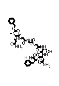 NC(=O)CC[C@H](NC(=O)OCc1ccccc1)C(=O)NCC(=O)NCC(=O)NCC(=O)N[C@@H](CO)C(=O)N[C@@H](CC(N)=O)C(=O)N[C@@H](Cc1ccccc1)C(N)=O